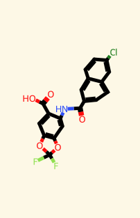 O=C(Nc1cc2c(cc1C(=O)O)OC(F)(F)O2)c1ccc2cc(Cl)ccc2c1